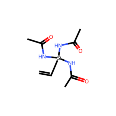 C=C[Si](NC(C)=O)(NC(C)=O)NC(C)=O